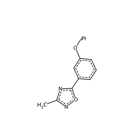 Cc1noc(-c2cccc(OC(C)C)c2)n1